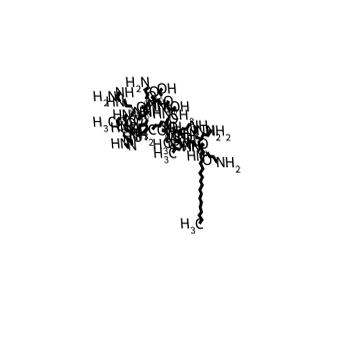 CCCCCCCCCCCCCCCC(=O)N[C@@H](CCCCN)C(=O)N[C@@H](CCCCN)C(=O)N[C@@H](CC(C)C)C(=O)N[C@@H](CCCNC(=N)N)C(=O)N[C@@H](CO)C(=O)N[C@@H](CCCC)C(=O)N[C@H](C(=O)N[C@@H](CC(=O)O)C(=O)N[C@@H](CCCCN)C(=O)N[C@@H](Cc1ccc(O)cc1)C(=O)N[C@@H](CCCNC(=N)N)C(=O)N[C@@H](CC(C)C)C(=O)N[C@@H](Cc1cnc[nH]1)C(N)=O)[C@@H](C)O